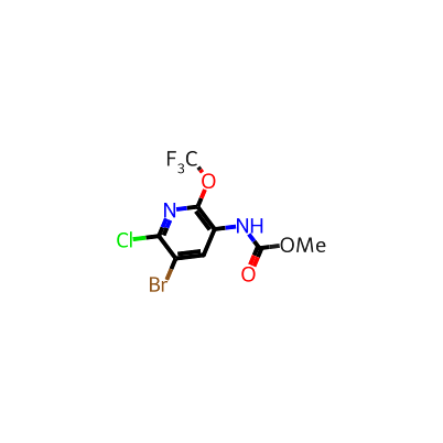 COC(=O)Nc1cc(Br)c(Cl)nc1OC(F)(F)F